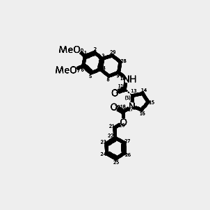 COc1cc2c(cc1OC)CC(NC(=O)[C@@H]1CCCN1C(=O)OCc1ccccc1)CC2